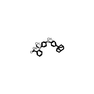 CCN(c1ccc(N(C)c2ccc(C34CC5CC(CC(C5)C3)C4)cc2)cc1)c1ccccc1C(=O)O